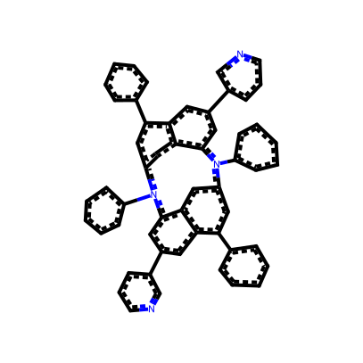 c1ccc(-c2cc3cc4c2cc(-c2cccnc2)cc4n(-c2ccccc2)c2cc(-c4ccccc4)c4cc(-c5cccnc5)cc(c4c2)n3-c2ccccc2)cc1